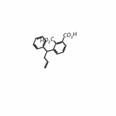 C=CCC(c1ccccc1)c1cccc(C(=O)O)c1C(=O)O